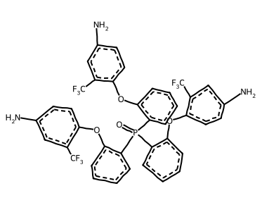 Nc1ccc(Oc2ccccc2P(=O)(c2ccccc2Oc2ccc(N)cc2C(F)(F)F)c2ccccc2Oc2ccc(N)cc2C(F)(F)F)c(C(F)(F)F)c1